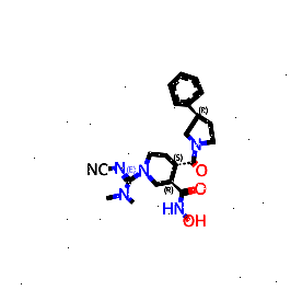 CN(C)/C(=N\C#N)N1CC[C@H](C(=O)N2CC[C@H](c3ccccc3)C2)[C@@H](C(=O)NO)C1